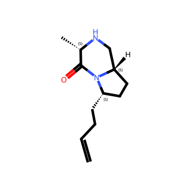 C=CCC[C@H]1CC[C@H]2CN[C@@H](C)C(=O)N12